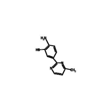 Cc1ccnc(-c2ccc(N)c(S)c2)n1